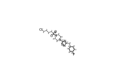 O=S(=O)(CCCCCl)N1CCN(c2nc(Cc3ccc(F)cc3)ns2)CC1